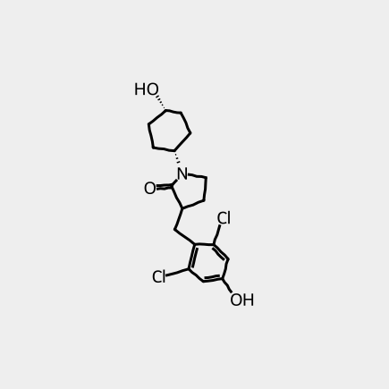 O=C1C(Cc2c(Cl)cc(O)cc2Cl)CCN1[C@H]1CC[C@@H](O)CC1